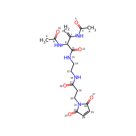 C=C(NC(C)=O)C(NC(C)=O)C(=O)NCCNC(=O)CCN1C(=O)C=CC1=O